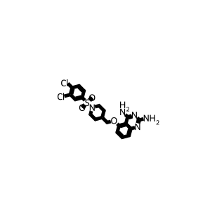 Nc1nc(N)c2c(OCC3CCN(S(=O)(=O)c4ccc(Cl)c(Cl)c4)CC3)cccc2n1